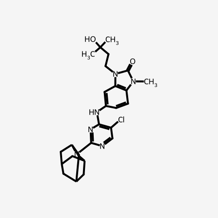 Cn1c(=O)n(CCC(C)(C)O)c2cc(Nc3nc(N4C5CC6CC(C5)CC4C6)ncc3Cl)ccc21